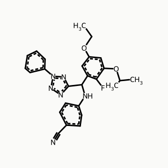 CCOc1cc(OC(C)C)c(F)c(C(Nc2ccc(C#N)cc2)c2nnn(-c3ccccc3)n2)c1